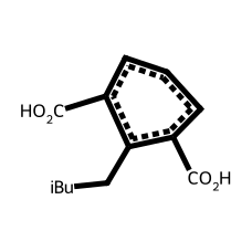 CCC(C)Cc1c(C(=O)O)cccc1C(=O)O